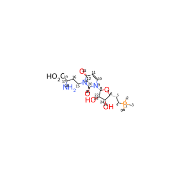 C=P(C)(C)CC[C@H]1O[C@@H](n2ccc(=O)n(CCC(N)C(=O)O)c2=O)[C@H](O)[C@@H]1O